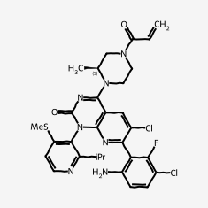 C=CC(=O)N1CCN(c2nc(=O)n(-c3c(SC)ccnc3C(C)C)c3nc(-c4c(N)ccc(Cl)c4F)c(Cl)cc23)[C@@H](C)C1